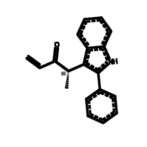 C=CC(=O)[C@@H](C)c1c(-c2ccccc2)[nH]c2ccccc12